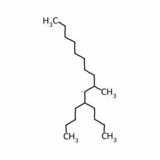 CCCCCCCCC(C)[CH]C(CCCC)CCCC